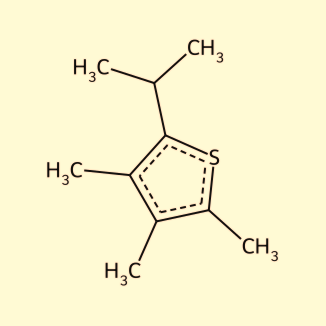 Cc1sc(C(C)C)c(C)c1C